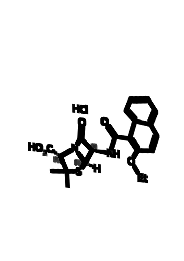 CCOc1ccc2ccccc2c1C(=O)N[C@@H]1C(=O)N2[C@@H]1SC(C)(C)[C@@H]2C(=O)O.Cl